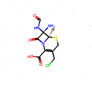 N[C@]1(NC=O)C(=O)N2C(C(=O)O)=C(CCl)CS[C@@H]21